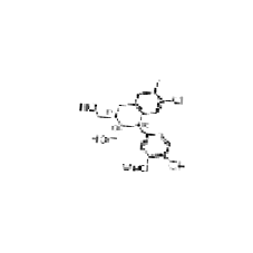 COc1cc([C@@H]2c3cc(Cl)c(C)cc3C[C@H](CO)[C@H]2CO)ccc1O